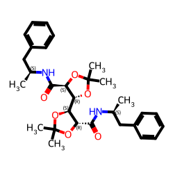 C[C@@H](Cc1ccccc1)NC(=O)[C@H]1OC(C)(C)O[C@@H]1[C@@H]1OC(C)(C)O[C@H]1C(=O)N[C@@H](C)Cc1ccccc1